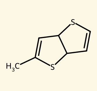 CC1=CC2SC=CC2S1